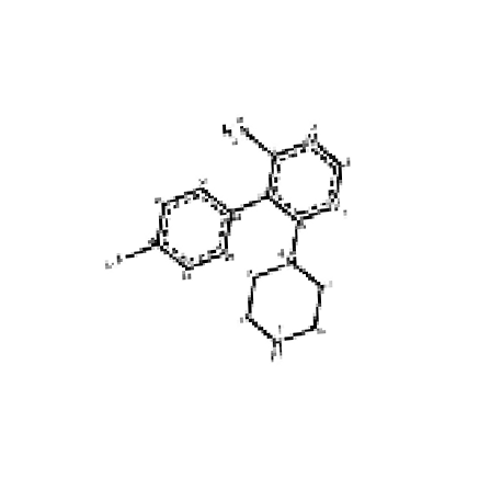 Nc1ncnc(N2CCNCC2)c1-c1ccc(F)cc1